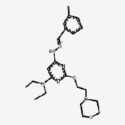 CCN(CC)c1cc(N/N=C/c2cccc(C)c2)nc(OCCN2CCOCC2)n1